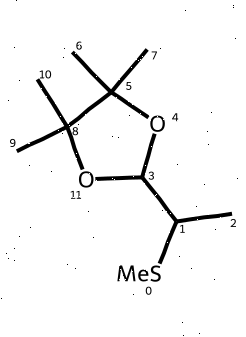 CSC(C)C1OC(C)(C)C(C)(C)O1